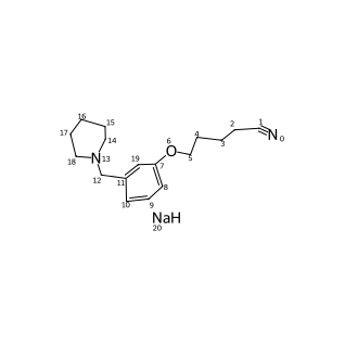 N#CCCCCOc1cccc(CN2CCCCC2)c1.[NaH]